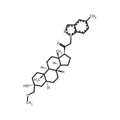 COC[C@@]1(O)CC[C@@]2(C)[C@@H](CC[C@@H]3[C@@H]2CC[C@]2(C)[C@@H](C(=O)Cn4ncc5cc(C)ccc54)CC[C@@H]32)C1